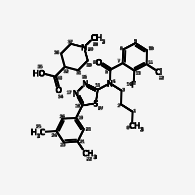 CCCCN(C(=O)c1cccc(Cl)c1F)c1nnc(-c2cc(C)cc(C)c2)s1.CN1CCC(C(=O)O)CC1